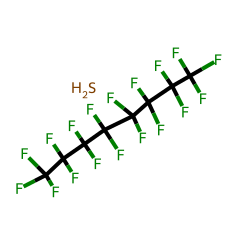 FC(F)(F)C(F)(F)C(F)(F)C(F)(F)C(F)(F)C(F)(F)C(F)(F)C(F)(F)F.S